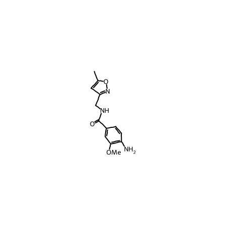 COc1cc(C(=O)NCc2cc(C)on2)ccc1N